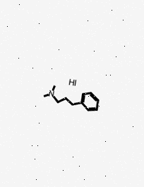 CN(C)CCCc1ccccc1.I